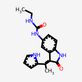 CCNC(=O)Nc1ccc2c(c1)/C(=C(/C)c1ccc[nH]1)C(=O)N2